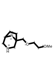 COCCOCC12CCC(CNC1)N2